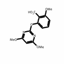 COc1cc(OC)nc(Oc2cccc(OC)c2C(=O)O)n1